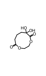 O=C1CCCC(O)(O)C(=O)OCCO1